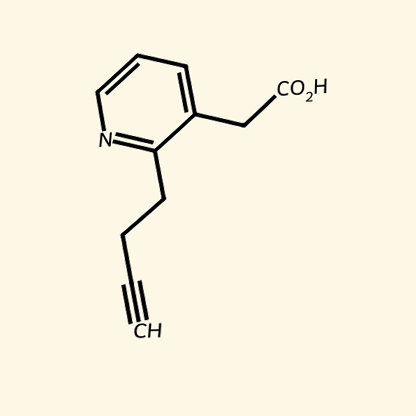 C#CCCc1ncccc1CC(=O)O